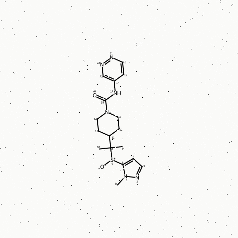 Cn1nccc1[S+]([O-])C(C)(C)C1CCN(C(=O)Nc2ccnnc2)CC1